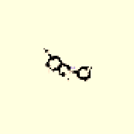 Nc1ncc(Br)cc1/C=N/c1cccnc1